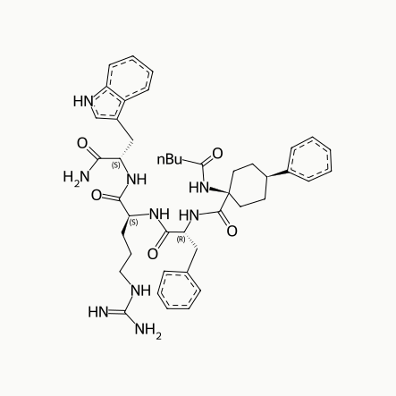 CCCCC(=O)N[C@]1(C(=O)N[C@H](Cc2ccccc2)C(=O)N[C@@H](CCCNC(=N)N)C(=O)N[C@@H](Cc2c[nH]c3ccccc23)C(N)=O)CC[C@H](c2ccccc2)CC1